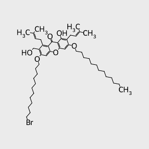 CCCCCCCCCCCCCOc1cc2oc3cc(OCCCCCCCCCCCCBr)c(CO)c(CC=C(C)C)c3c(=O)c2c(O)c1CC=C(C)C